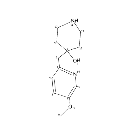 COc1ccc(CC2(O)CCNCC2)nc1